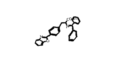 CCOC(=O)C(Cc1ccc(-c2nc3ccccc3o2)cc1)N=C(c1ccccc1)c1ccccc1